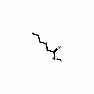 CCCCCC(=O)NC